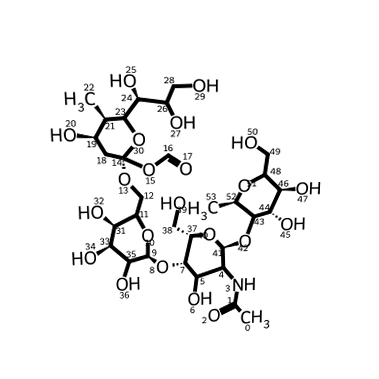 CC(=O)NC1C(O)[C@H](O[C@@H]2OC(CO[C@]3(OC=O)C[C@@H](O)[C@@H](C)C([C@@H](O)C(O)CO)O3)[C@H](O)[C@H](O)C2O)[C@H](CO)O[C@H]1OC1[C@@H](O)[C@H](O)C(CO)O[C@@H]1C